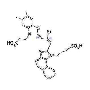 CCC(=C/c1sc2ccc3ccccc3c2[n+]1CCCS(=O)(=O)O)/C=C1\Oc2cc(C)c(C)cc2N1CCS(=O)(=O)O